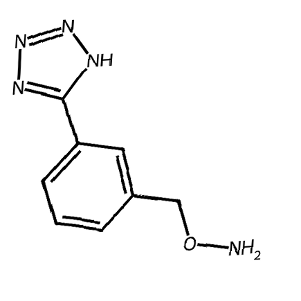 NOCc1cccc(-c2nnn[nH]2)c1